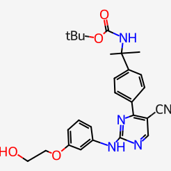 CC(C)(C)OC(=O)NC(C)(C)c1ccc(-c2nc(Nc3cccc(OCCO)c3)ncc2C#N)cc1